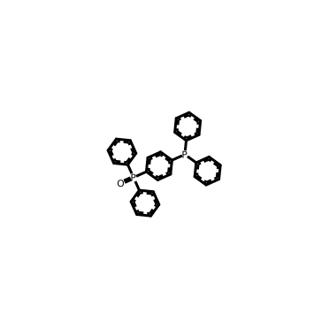 O=P(c1ccccc1)(c1ccccc1)c1ccc(P(c2ccccc2)c2ccccc2)cc1